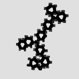 c1ccc2cc(N(c3ccc(-c4ccc(-n5c6ccccc6c6ccccc65)cc4)cc3)c3ccc(-c4cccc5oc6ccccc6c45)cc3)ccc2c1